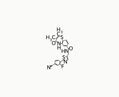 CC1=C(C)C(=O)Nc2cc(C(=O)NCc3cnc(-c4ccc(C#N)cc4F)s3)ccc2S1